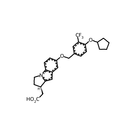 O=C(O)C[C@H]1CCn2c1cc1cc(OCc3ccc(OC4CCCC4)c(C(F)(F)F)c3)ccc12